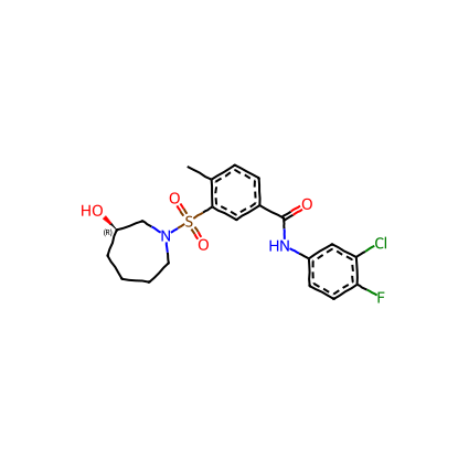 Cc1ccc(C(=O)Nc2ccc(F)c(Cl)c2)cc1S(=O)(=O)N1CCCC[C@@H](O)C1